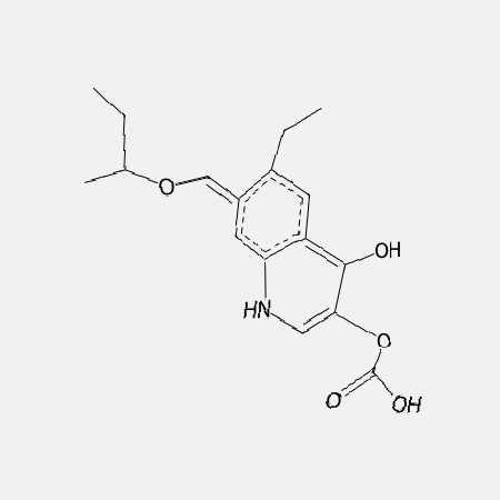 CCc1cc2c(cc1=COC(C)CC)NC=C(OC(=O)O)C=2O